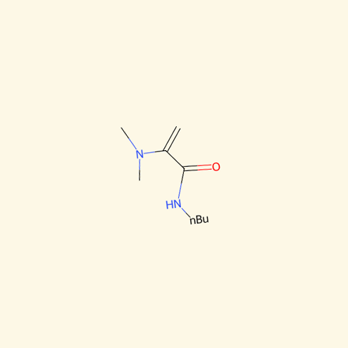 C=C(C(=O)NCCCC)N(C)C